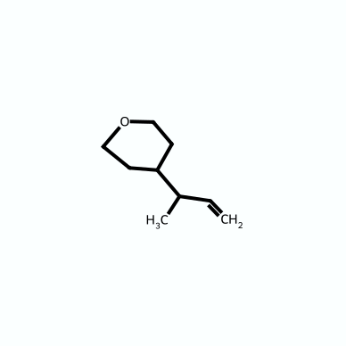 C=CC(C)C1CCOCC1